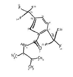 CC(C)C(C)NC(=O)c1cc(C(F)(F)F)ccc1C(F)(F)F